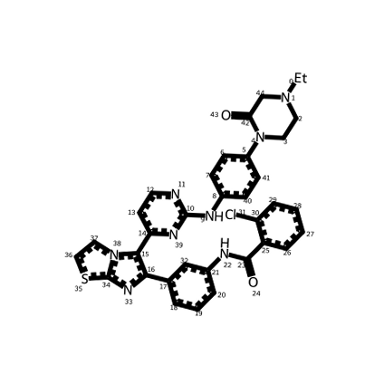 CCN1CCN(c2ccc(Nc3nccc(-c4c(-c5cccc(NC(=O)c6ccccc6Cl)c5)nc5sccn45)n3)cc2)C(=O)C1